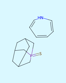 C1=CC=CNC=C1.S=P12CC3CC(CC(C3)C1)C2